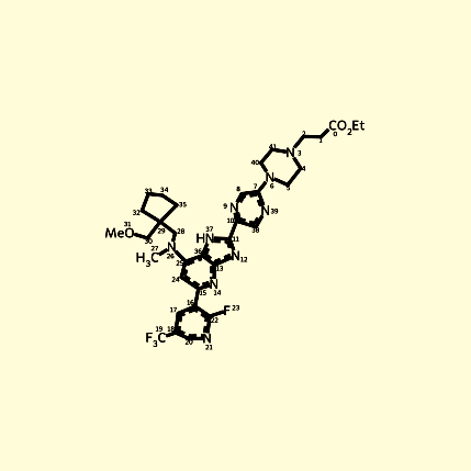 CCOC(=O)CCN1CCN(c2cnc(-c3nc4nc(-c5cc(C(F)(F)F)cnc5F)cc(N(C)CC5(COC)CCCC5)c4[nH]3)cn2)CC1